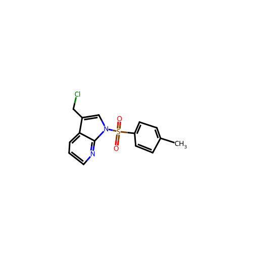 Cc1ccc(S(=O)(=O)n2cc(CCl)c3cccnc32)cc1